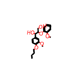 CCCCOc1ccc(C(O)C(CO)Oc2ccccc2OC)cc1OC